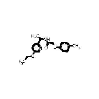 Cc1ccc(OCC(=O)NC(C)c2ccc(OCC(F)(F)F)cn2)cc1